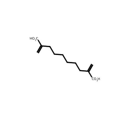 C=C(CCCCCCC(=C)C(=O)O)C(=O)O